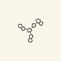 c1ccc2cc(-c3cc(-c4ccc(-c5nccc6ccccc56)cc4)cc(-c4ccc5ccccc5c4)n3)ccc2c1